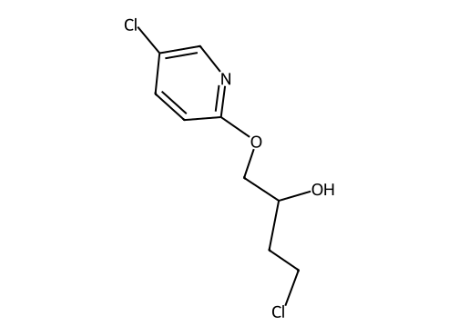 OC(CCCl)COc1ccc(Cl)cn1